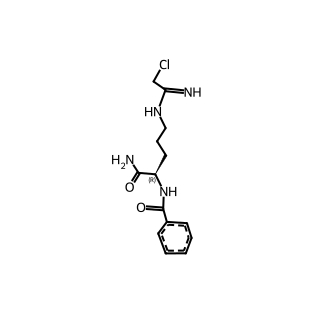 N=C(CCl)NCCC[C@@H](NC(=O)c1ccccc1)C(N)=O